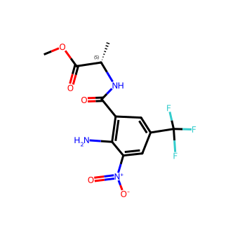 COC(=O)[C@H](C)NC(=O)c1cc(C(F)(F)F)cc([N+](=O)[O-])c1N